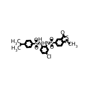 CC(C)c1ccc(S(=O)(=O)Nc2ccc(Cl)cc2NS(=O)(=O)c2ccc3c(c2)c(=O)sn3C)cc1